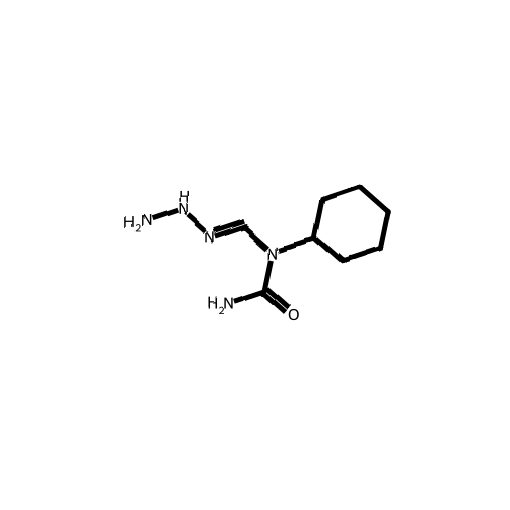 NNN=CN(C(N)=O)C1CCCCC1